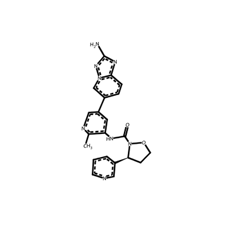 Cc1ncc(-c2ccc3nc(N)nn3c2)cc1NC(=O)N1OCC[C@H]1c1cccnc1